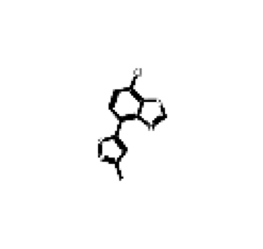 Cc1cc(-c2ccc(Cl)c3scnc23)sn1